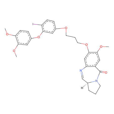 COc1ccc(Oc2cc(OCCCOc3cc4c(cc3OC)C(=O)N3CCC[C@H]3C=N4)ccc2I)cc1OC